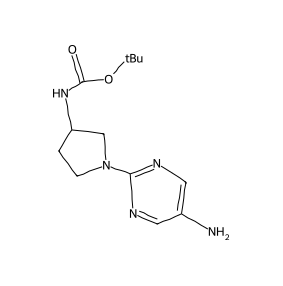 CC(C)(C)OC(=O)NC1CCN(c2ncc(N)cn2)C1